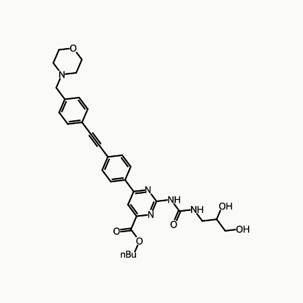 CCCCOC(=O)c1cc(-c2ccc(C#Cc3ccc(CN4CCOCC4)cc3)cc2)nc(NC(=O)NCC(O)CO)n1